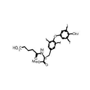 COC(=O)[C@H](Cc1cc(I)c(Oc2cc(I)c(O)c(I)c2)c(I)c1)NC(=O)CCCC(=O)O